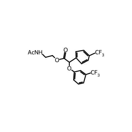 CC(=O)NCCOC(=O)C(Oc1cccc(C(F)(F)F)c1)c1ccc(C(F)(F)F)cc1